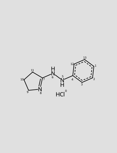 Cl.c1ccc(NNC2=NCCC2)cc1